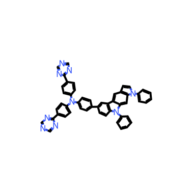 c1ccc(-n2ccc3cc4c5cc(-c6ccc(N(c7ccc(-c8ncncn8)cc7)c7ccc(-c8ncncn8)cc7)cc6)ccc5n(-c5ccccc5)c4cc32)cc1